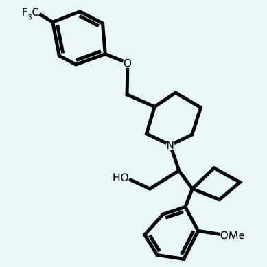 COc1ccccc1C1(C(CO)N2CCCC(COc3ccc(C(F)(F)F)cc3)C2)CCC1